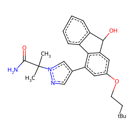 CC(C)(C)CCOc1cc(-c2cnn(C(C)(C)C(N)=O)c2)c2c(c1)C(O)c1ccccc1-2